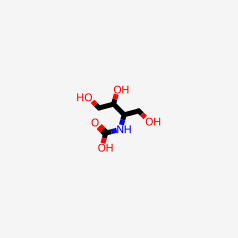 O=C(O)NC(CO)C(O)CO